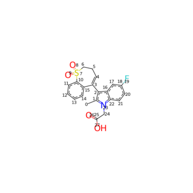 Cc1c(C2=CCCS(=O)(=O)c3ccccc32)c2cc(F)ccc2n1CC(=O)O